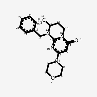 O=c1cc(N2CCOCC2)nc2n1CCC(C(F)(F)F)N2Cc1ccccc1